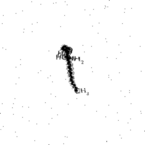 CCCCCCCCCCCCCCCCCCC(N)C(O)CNC(=O)c1ccccc1C=O